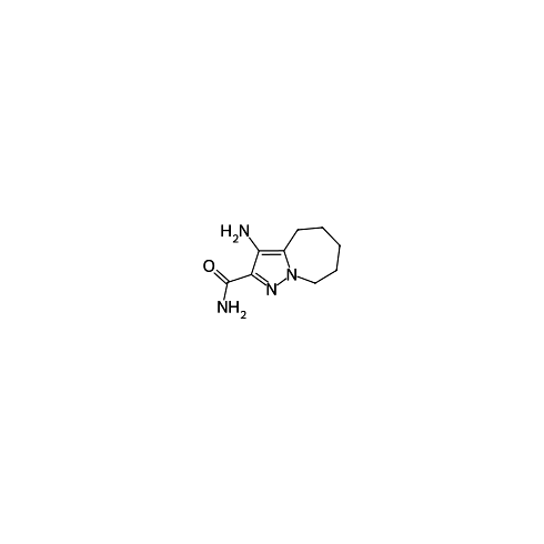 NC(=O)c1nn2c(c1N)CCCCC2